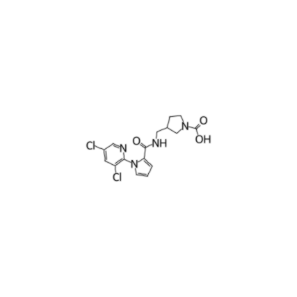 O=C(NCC1CCN(C(=O)O)C1)c1cccn1-c1ncc(Cl)cc1Cl